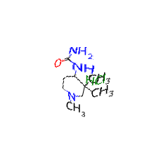 CN1CCC(NC(N)=O)C(C)(C)C1.Cl